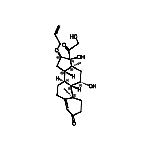 C=CCO[C@@H]1C[C@H]2[C@@H]3CCC4=CC(=O)CC[C@]4(C)[C@H]3[C@@H](O)C[C@]2(C)[C@@]1(O)C(=O)CO